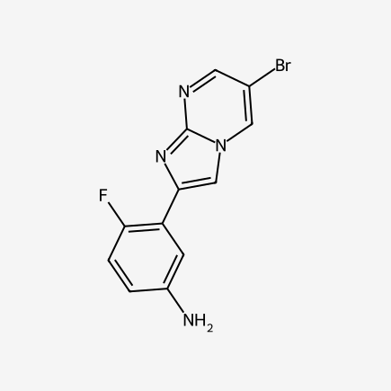 Nc1ccc(F)c(-c2cn3cc(Br)cnc3n2)c1